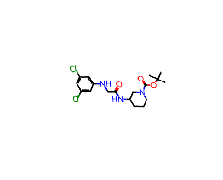 CC(C)(C)OC(=O)N1CCCC(NC(=O)CNc2cc(Cl)cc(Cl)c2)C1